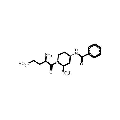 NC(CCC(=O)O)C(=O)N1CC[C@H](NC(=O)c2ccccc2)C[C@H]1C(=O)O